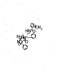 Cc1noc(-c2ccccc2)c1C(=O)N(C)[C@H](CCNC(=O)c1cccn1C)Cc1ccccc1